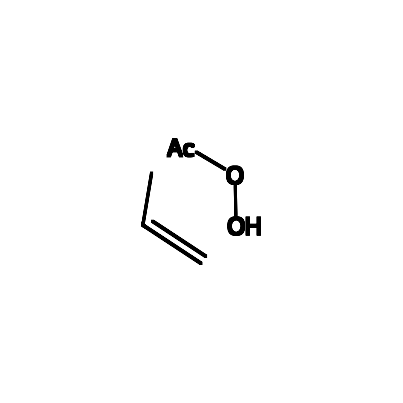 C=CC.CC(=O)OO